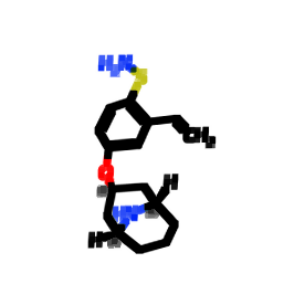 C=Cc1cc(O[C@@H]2C[C@H]3CCC[C@@H](C2)N3)ccc1SN